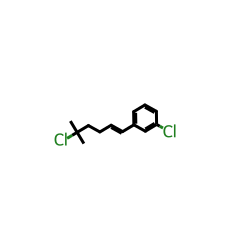 CC(C)(Cl)CCC=Cc1cccc(Cl)c1